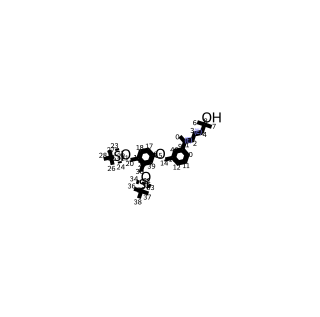 C/C(=C\C=C\C(C)(C)O)c1cccc(COc2ccc(CO[Si](C)(C)C(C)(C)C)c(CO[Si](C)(C)C(C)(C)C)c2)c1